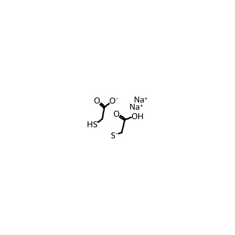 O=C(O)C[S-].O=C([O-])CS.[Na+].[Na+]